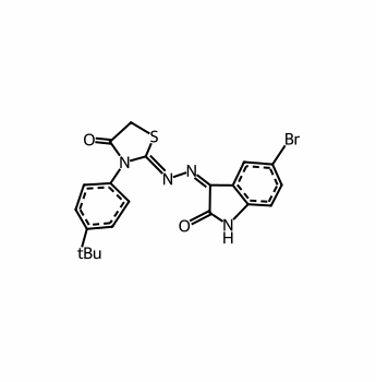 CC(C)(C)c1ccc(N2C(=O)CSC2=NN=C2C(=O)Nc3ccc(Br)cc32)cc1